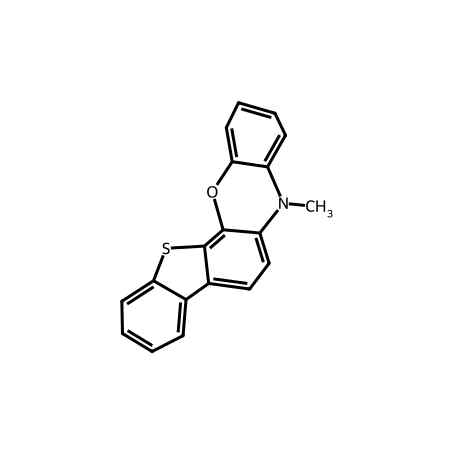 CN1c2ccccc2Oc2c1ccc1c2sc2ccccc21